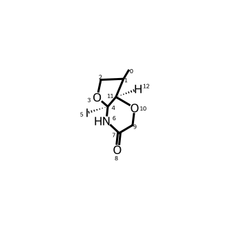 CC1CO[C@]2(I)NC(=O)CO[C@H]12